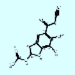 N#CCC(=O)c1cc2c(c(Cl)c1Cl)OC(OC(=O)O)C2